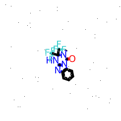 CN1C(=O)n2c(nc3ccccc32)NC1(C(F)(F)F)C(F)(F)F